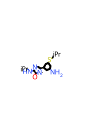 CC(C)CSc1cc(N)cc(C2=CN=C(NC(C)C)C(=O)[N]2)c1